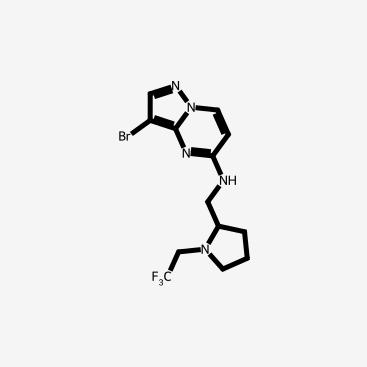 FC(F)(F)CN1CCCC1CNc1ccn2ncc(Br)c2n1